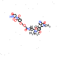 COc1cc(-c2cn(C)c(=O)c3cnccc23)cc(OC)c1CN(C)CC1CC2CN(C(=O)CCOCCOc3ccc4c(c3)C(=O)N(C3CCC(=O)NC3=O)C4=O)C[C@@H]2C1